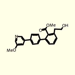 COC(=O)c1c(CCO)cccc1-c1ccc(-c2cncc(OC)c2)cc1